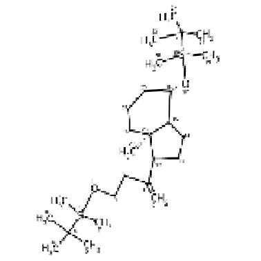 C=C(CCO[Si](C)(C)C(C)(C)C)C1CCC2[C@@H](O[Si](C)(C)C(C)(C)C)CCC[C@]12C